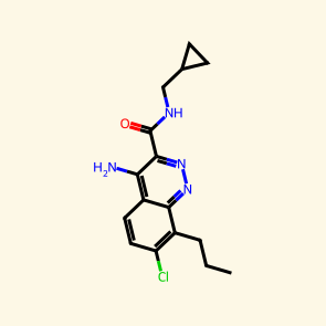 CCCc1c(Cl)ccc2c(N)c(C(=O)NCC3CC3)nnc12